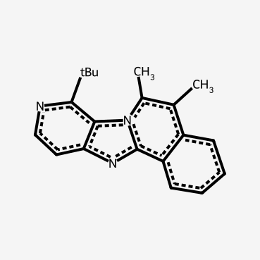 Cc1c(C)n2c(nc3ccnc(C(C)(C)C)c32)c2ccccc12